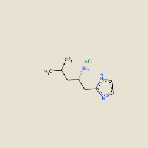 CC(C)C[C@H](N)Cc1ncc[nH]1.Cl